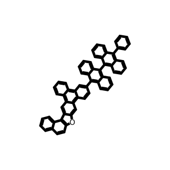 c1ccc(-c2c3ccccc3c(-c3c4ccccc4c(-c4ccc5c(c4)c4ccccc4c4cc6c(cc54)oc4ccc5ccccc5c46)c4ccccc34)c3ccccc23)cc1